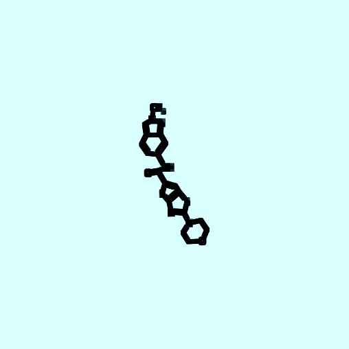 Cn1cc2ccc(NC(=O)c3cc4sc(N5CCOCC5)nc4s3)cc2n1